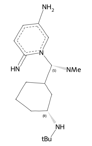 CN[C@H](C1CCC[C@@H](NC(C)(C)C)C1)n1cc(N)ccc1=N